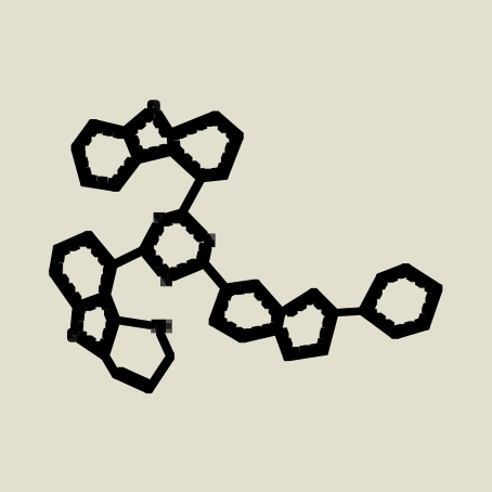 C1=Cc2oc3cccc(-c4nc(-c5ccc6ccc(-c7ccccc7)cc6c5)nc(-c5cccc6oc7ccccc7c56)n4)c3c2NC1